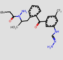 CC(C)(C)CC(=O)N(N)C(Cc1ccccc1C(=O)c1cc(NC=NN)cc(C(F)(F)F)c1)C(=O)O